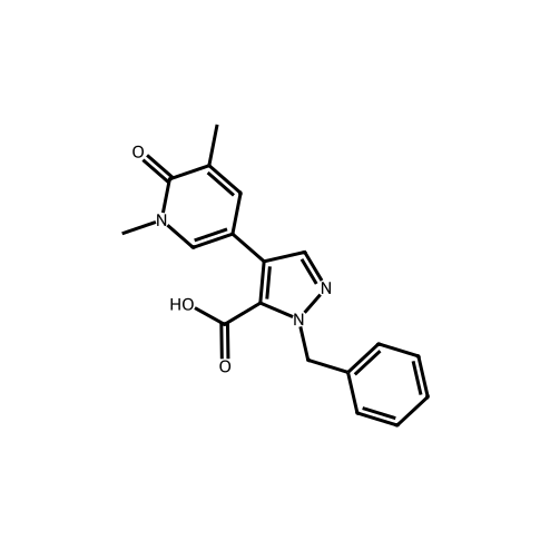 Cc1cc(-c2cnn(Cc3ccccc3)c2C(=O)O)cn(C)c1=O